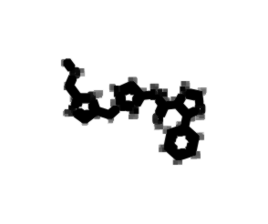 COCc1ncc(Cn2ncc(NC(=O)C3N=COC3c3ccccc3)n2)s1